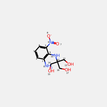 Nc1cccc([N+](=O)[O-])c1NC(CO)(CO)CO